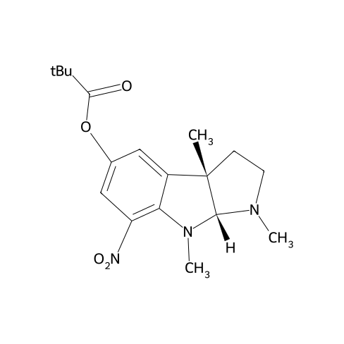 CN1CC[C@@]2(C)c3cc(OC(=O)C(C)(C)C)cc([N+](=O)[O-])c3N(C)[C@@H]12